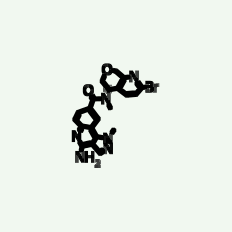 CN(C(=O)c1ccc2nc(N)c3cnn(C)c3c2c1)[C@@H]1COCc2nc(Br)ccc21